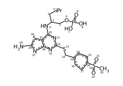 CC(C)CC(COP(=O)(O)O)Nc1nc(SCc2ccc(S(C)(=O)=O)cc2)nc2nc(N)sc12